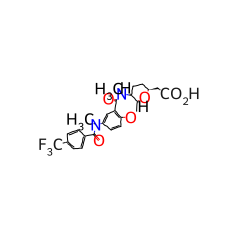 CN(C(=O)c1ccc(C(F)(F)F)cc1)c1ccc2c(c1)C(=O)N(C)[C@H]1CC[C@@H](CC(=O)O)O[C@H]1CO2